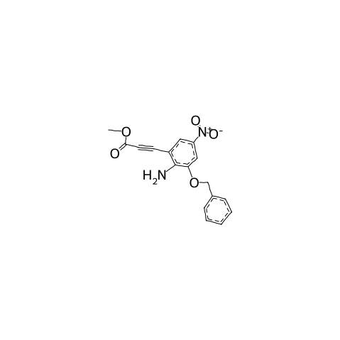 COC(=O)C#Cc1cc([N+](=O)[O-])cc(OCc2ccccc2)c1N